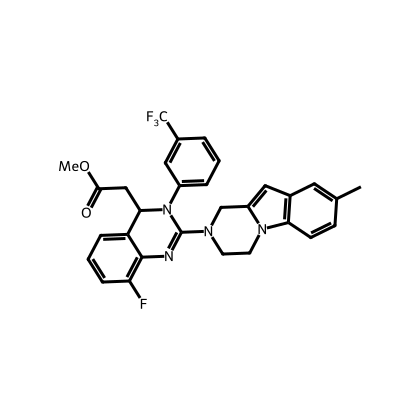 COC(=O)CC1c2cccc(F)c2N=C(N2CCn3c(cc4cc(C)ccc43)C2)N1c1cccc(C(F)(F)F)c1